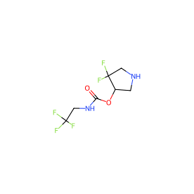 O=C(NCC(F)(F)F)OC1CNCC1(F)F